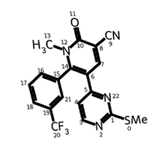 CSc1nccc(-c2cc(C#N)c(=O)n(C)c2-c2cccc(C(F)(F)F)c2)n1